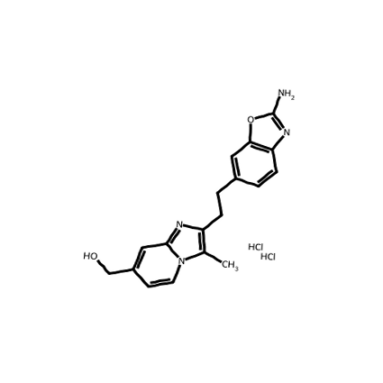 Cc1c(CCc2ccc3nc(N)oc3c2)nc2cc(CO)ccn12.Cl.Cl